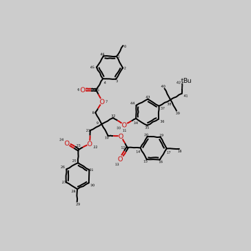 Cc1ccc(C(=O)OCC(COC(=O)c2ccc(C)cc2)(COC(=O)c2ccc(C)cc2)COc2ccc(C(C)(C)CC(C)(C)C)cc2)cc1